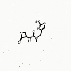 CC(C)c1nc(CN(C)C(=O)NC2COC2=O)cs1